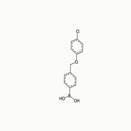 OB(O)c1ccc(COc2ccc(Cl)cc2)cc1